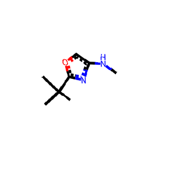 CNc1coc(C(C)(C)C)n1